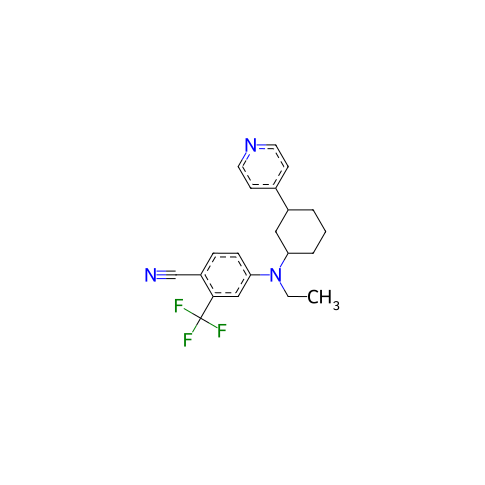 CCN(c1ccc(C#N)c(C(F)(F)F)c1)C1CCCC(c2ccncc2)C1